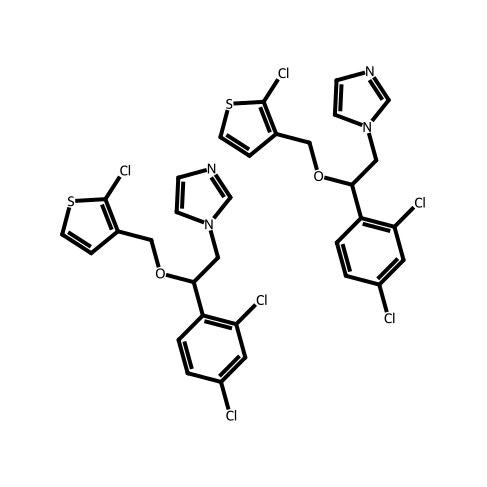 Clc1ccc(C(Cn2ccnc2)OCc2ccsc2Cl)c(Cl)c1.Clc1ccc(C(Cn2ccnc2)OCc2ccsc2Cl)c(Cl)c1